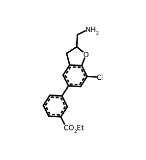 CCOC(=O)c1cccc(-c2cc(Cl)c3c(c2)CC(CN)O3)c1